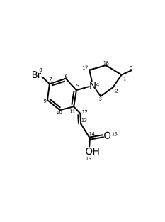 CC1CCN(c2cc(Br)ccc2/C=C/C(=O)O)CC1